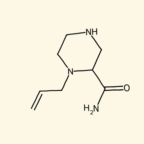 C=CCN1CCNCC1C(N)=O